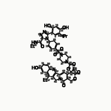 CCNC(=O)c1nnc(-c2cc(C(C)C)c(O)cc2O)n1C1C=CC(S(=O)(=O)N2CCN(C(=O)OC3(CC)C(=O)OCc4c3cc3n(c4=O)Cc4c-3nc3ccc(O)cc3c4CC)CC2)=CC1